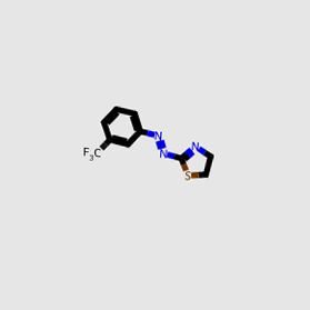 FC(F)(F)c1cccc(N=NC2=NCCS2)c1